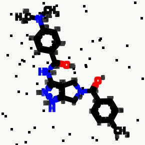 Cc1ccc(C(=O)N2Cc3[nH]nc(NC(=O)c4ccc(N(C)C)cc4)c3C2)cc1